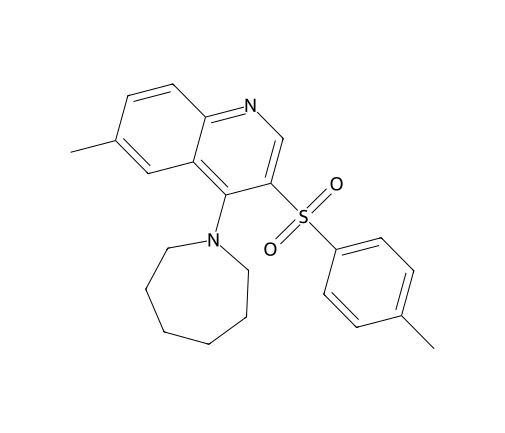 Cc1ccc(S(=O)(=O)c2cnc3ccc(C)cc3c2N2CCCCCC2)cc1